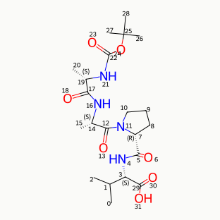 CC(C)[C@H](NC(=O)[C@H]1CCCN1C(=O)[C@H](C)NC(=O)[C@H](C)NC(=O)OC(C)(C)C)C(=O)O